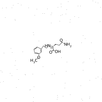 COc1cccc(CCN[C@@H](CCC(N)=O)C(=O)O)c1